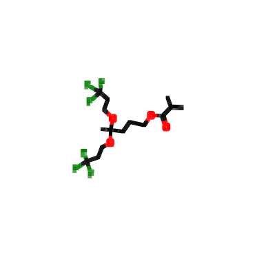 C=C(C)C(=O)OCCCC(C)(OCCC(F)(F)F)OCCC(F)(F)F